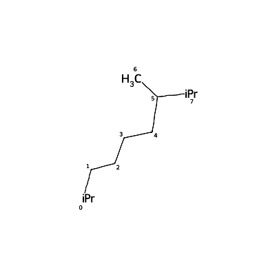 CC(C)CCCCC(C)C(C)C